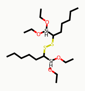 CCCCCC(SSC(CCCCC)[SiH](OCC)OCC)[SiH](OCC)OCC